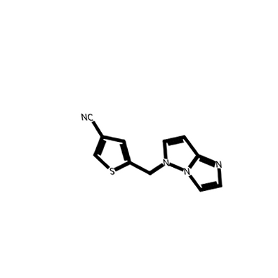 N#Cc1csc(Cn2ccc3nccn32)c1